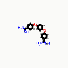 N=C(N)c1ccc(Oc2ccc(Oc3ccc(C(=N)N)cc3)cc2)cc1